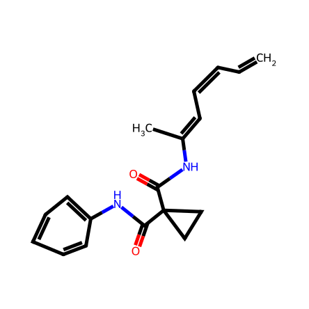 C=C/C=C\C=C(/C)NC(=O)C1(C(=O)Nc2ccccc2)CC1